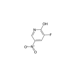 O=[N+]([O-])c1cnc(O)c(F)c1